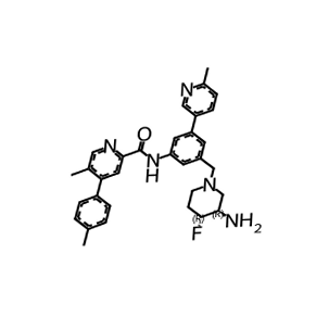 Cc1ccc(-c2cc(C(=O)Nc3cc(CN4CC[C@@H](F)[C@H](N)C4)cc(-c4ccc(C)nc4)c3)ncc2C)cc1